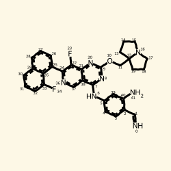 N=Cc1ccc(Nc2nc(OCC34CCCN3CCC4)nc3c(F)c(-c4cccc5cccc(F)c45)ncc23)cc1N